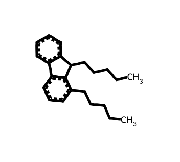 CCCCCc1cccc2c1C(CCCCC)c1ccccc1-2